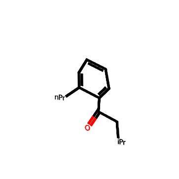 CCCc1ccccc1C(=O)CC(C)C